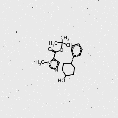 Cn1cncc1C(=O)OC(C)(C)C.OC1CCC(c2ccccc2)CC1